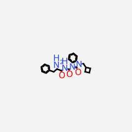 N[C@@H](Cc1ccccc1)C(=O)NC(=O)n1c(=O)n(CC2CCC2)c2ccccc21